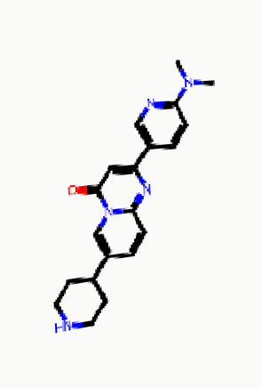 CN(C)c1ccc(-c2cc(=O)n3cc(C4CCNCC4)ccc3n2)cn1